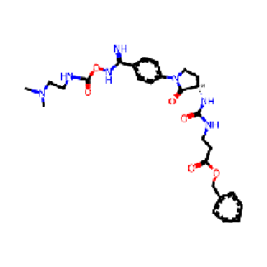 CN(C)CCNC(=O)ONC(=N)c1ccc(N2CC[C@H](NC(=O)NCCC(=O)OCc3ccccc3)C2=O)cc1